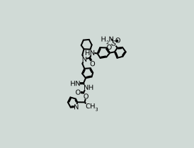 CC(OC(=O)NC(=N)c1cccc(CN(CC2CCCCC2)C(=O)Nc2ccc(-c3ccccc3S(N)(=O)=O)cc2)c1)c1ccccn1